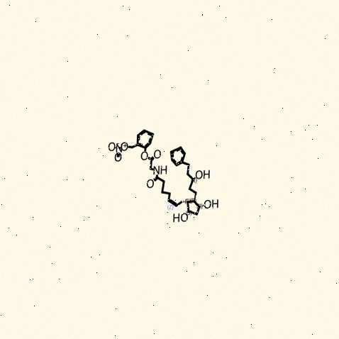 O=C(CCC/C=C\C[C@@H]1[C@@H](CC[C@@H](O)CCc2ccccc2)[C@H](O)C[C@@H]1O)NCC(=O)Oc1ccccc1CO[N+](=O)[O-]